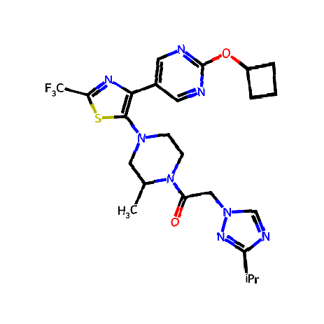 CC(C)c1ncn(CC(=O)N2CCN(c3sc(C(F)(F)F)nc3-c3cnc(OC4CCC4)nc3)CC2C)n1